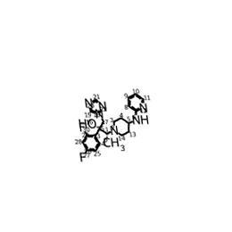 C[C@@H](N1CCC(Nc2ccccn2)CC1)[C@](O)(Cn1cncn1)c1ccc(F)cc1F